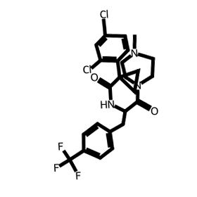 CN1CCN(C(=O)C(Cc2ccc(C(F)(F)F)cc2)NC(=O)C2(c3ccc(Cl)cc3Cl)CC2)CC1